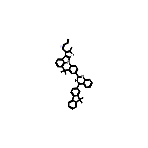 C=C/C=C\c1c(C)oc2c1c1cccc3c1n2-c1ccc(-c2nc(-c4ccc5c(c4)C(C)(C)c4ccccc4-5)c4ccccc4n2)cc1C3(C)C